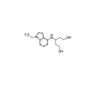 OCCC(CCO)Nc1cccc2c1ccn2CC(F)(F)F